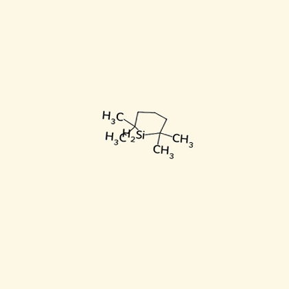 CC1(C)CCCC(C)(C)[SiH2]1